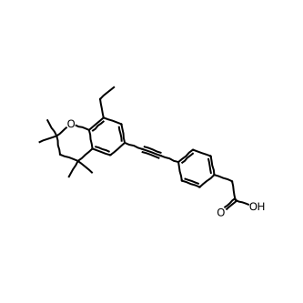 CCc1cc(C#Cc2ccc(CC(=O)O)cc2)cc2c1OC(C)(C)CC2(C)C